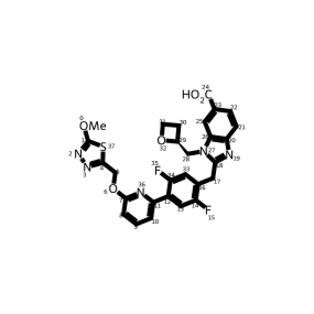 COc1nnc(COc2cccc(-c3cc(F)c(Cc4nc5ccc(C(=O)O)cc5n4C[C@@H]4CCO4)cc3F)n2)s1